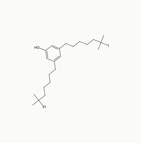 CCC(C)(C)CCCCCc1cc(O)cc(CCCCCC(C)(C)I)c1